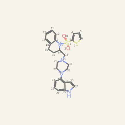 O=S(=O)(c1cccs1)N1c2ccccc2CCC1CN1CCN(c2cccc3[nH]ccc23)CC1